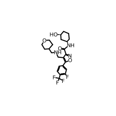 O=C(N[C@@H]1CCC[C@H](O)C1)c1noc(-c2ccc(C(F)(F)F)c(F)c2)c1CNCC1CCOCC1